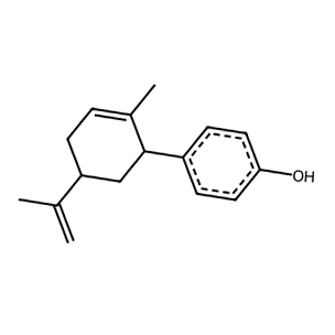 C=C(C)C1CC=C(C)C(c2ccc(O)cc2)C1